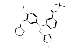 COc1ccc(N(Cc2cn[nH]c2)c2cccc(C(=O)OC(C)(C)C)c2)cc1OC1CCCC1